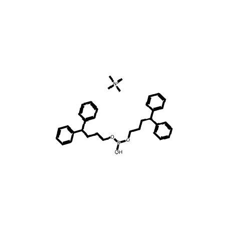 C[N+](C)(C)C.OB(OCCCC(c1ccccc1)c1ccccc1)OCCCC(c1ccccc1)c1ccccc1